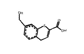 O=C(O)C1=CCc2ccc(CO)cc2S1